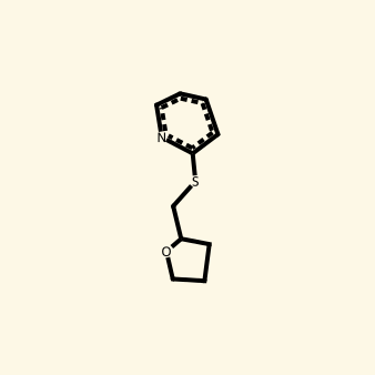 c1ccc(SCC2CCCO2)nc1